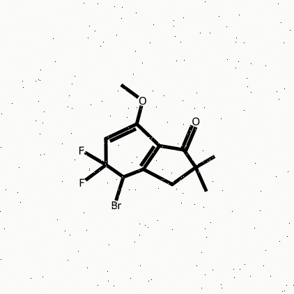 COC1=CC(F)(F)C(Br)C2=C1C(=O)C(C)(C)C2